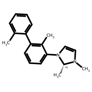 Cc1ccccc1-c1cccc(N2C=CN(C)[C@@H]2C)c1C